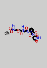 CC(C)(C)OC(=O)NCCOCC(=O)NCC(=O)Nc1cccc2c1C(=O)N(C1CCC(=O)NC1=O)C2=O